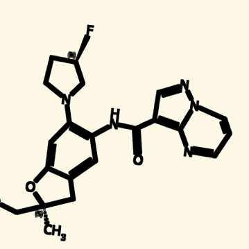 C[C@@]1(CO)Cc2cc(NC(=O)c3cnn4cccnc34)c(N3CC[C@@H](F)C3)cc2O1